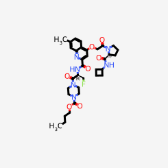 CCCCOC(=O)N1CCN(C(=O)[C@H](CF)NC(=O)c2cc(OCC(=O)N3CCC[C@H]3C(=O)NC3CCC3)c3ccc(C)cc3n2)CC1